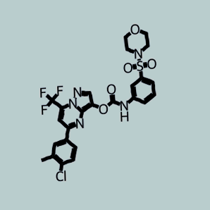 Cc1cc(-c2cc(C(F)(F)F)n3ncc(OC(=O)Nc4cccc(S(=O)(=O)N5CCOCC5)c4)c3n2)ccc1Cl